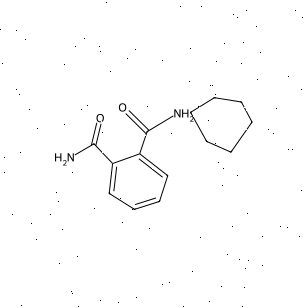 C1CCCCC1.NC(=O)c1ccccc1C(N)=O